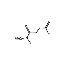 C=C(Cl)CCC(=O)N(C)OC